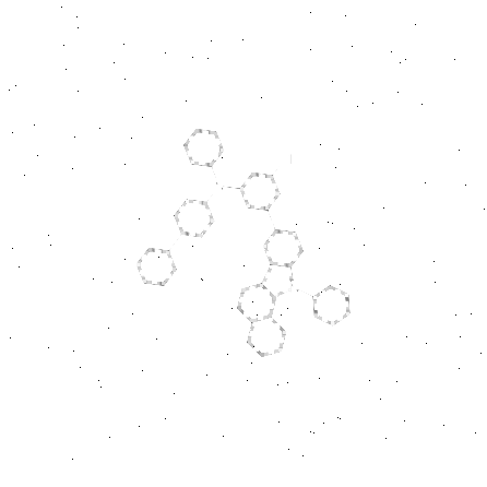 Clc1cc(-c2ccc3c(c2)c2ccc4ccccc4c2n3-c2ccccc2)cc(N(c2ccccc2)c2ccc(-c3ccccc3)cc2)c1